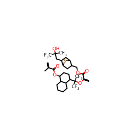 C=C(C)C(=O)OC1CCC(C(OC(=C)C(=O)OCC2CC3SC2CC3CC(O)(C(F)(F)F)C(F)(F)F)(C(F)(F)F)C(F)(F)F)C2CCCCC12